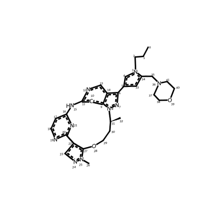 CCCn1cc(-c2nn3c4cc(ncc24)Nc2ccnc(n2)-c2cnn(C)c2OCC[C@@H]3C)cc1CN1CCOCC1